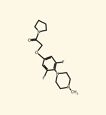 CN1CCN(c2c(F)cc(OCC(=O)N3CCCC3)cc2F)CC1